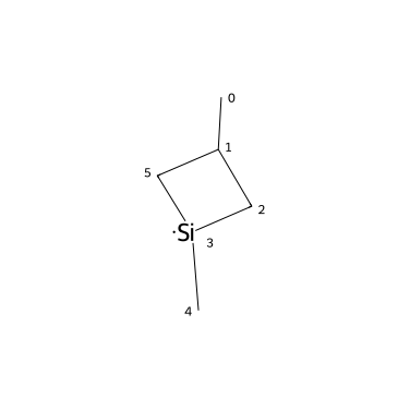 CC1C[Si](C)C1